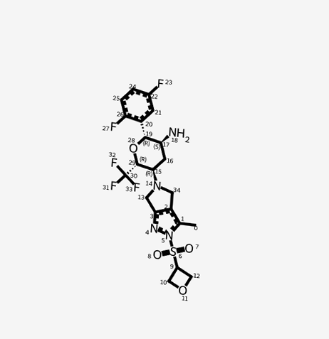 Cc1c2c(nn1S(=O)(=O)C1COC1)CN([C@@H]1C[C@H](N)[C@@H](c3cc(F)ccc3F)O[C@H]1C(F)(F)F)C2